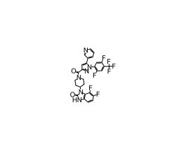 O=C(c1cc(-c2cccnc2)n(-c2cc(F)c(C(F)(F)F)cc2F)n1)N1CCC(n2c(=O)[nH]c3ccc(F)c(F)c32)CC1